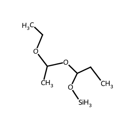 CCOC(C)OC(CC)O[SiH3]